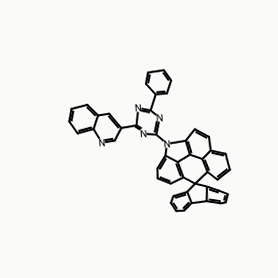 c1ccc(-c2nc(-c3cnc4ccccc4c3)nc(-n3c4cccc5c4c4c6c(cccc6ccc43)C53c4ccccc4-c4ccccc43)n2)cc1